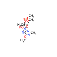 CCOc1nc(C)nc2c1ncn2[C@@H]1O[C@]2(F)CO[P@@](=O)(OC(C)C)O[C@H]2[C@@]1(C)O